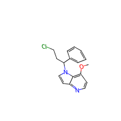 COc1ccnc2ccn(C(CCCl)c3ccccc3)c12